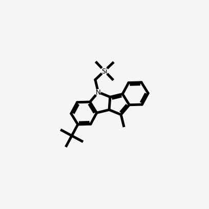 CC1=c2ccccc2=C2C1c1cc(C(C)(C)C)ccc1N2C[Si](C)(C)C